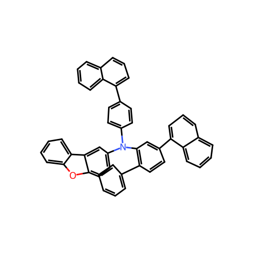 c1ccc(-c2ccc(-c3cccc4ccccc34)cc2N(c2ccc(-c3cccc4ccccc34)cc2)c2ccc3oc4ccccc4c3c2)cc1